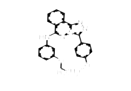 CCOc1cccc(Nc2nn3c(-c4ccc(OC)cc4)nnc3c3ccccc23)c1